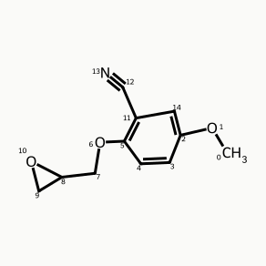 COc1ccc(OCC2CO2)c(C#N)c1